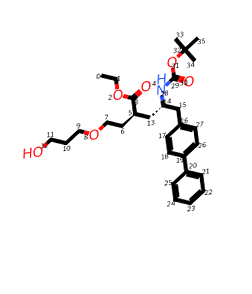 CCOC(=O)[C@H](CCOCCCO)C[C@@H](Cc1ccc(-c2ccccc2)cc1)NC(=O)OC(C)(C)C